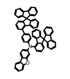 c1ccc2c(c1)-c1ccccc1C21c2ccccc2-c2c(-c3ccc(N(c4ccc5c(c4)oc4ccccc45)c4cccc5c4-c4ccccc4C54c5ccccc5-c5ccccc54)cc3)cccc21